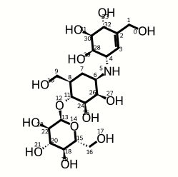 OCC1=C[C@H](N[C@@H]2C[C@H](CO)[C@@H](O[C@H]3O[C@H](CO)[C@@H](O)[C@H](O)[C@H]3O)[C@H](O)[C@@H]2O)[C@@H](O)[C@@H](O)[C@@H]1O